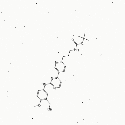 COc1ccc(Nc2nccc(-c3ccc(CCCNC(=O)OC(C)(C)C)nc3)n2)cc1CO